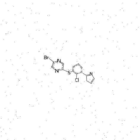 Clc1c(Sc2cnc(Br)cn2)cccc1C1=NC=CC1